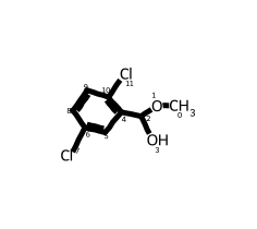 COC(O)c1cc(Cl)ccc1Cl